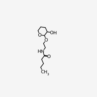 CCCCC(=O)NCCOC1OCCCC1O